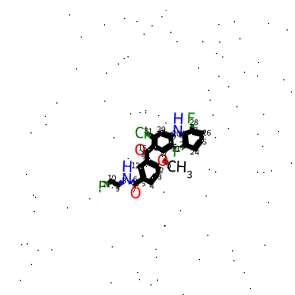 COc1ccc(C(=O)NCCF)cc1C(=O)c1ccc(Nc2c(F)cccc2F)cc1Cl